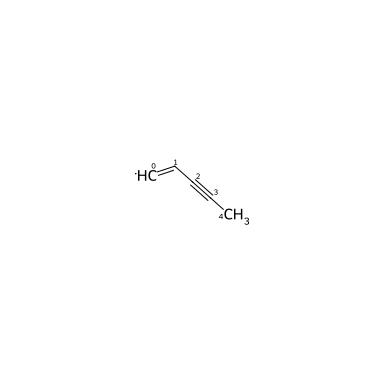 [CH]=CC#CC